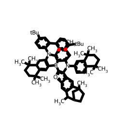 Cc1cc2c3c(c1)N(c1ccc4c(c1)C(C)(C)CCC4(C)C)c1c(oc4cc5c(cc14)C1(C)CCC(C1)C5C)B3C1=C(CC3C(=C1)C(C)(C)CCC3(C)C)N2c1ccc(C(C)(C)C)cc1-c1ccc(C(C)(C)C)cc1